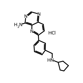 Cl.Nc1ncnc2ccc(-c3cccc(CNC4CCCC4)c3)nc12